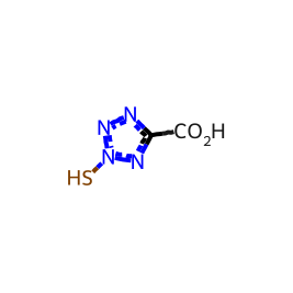 O=C(O)c1nnn(S)n1